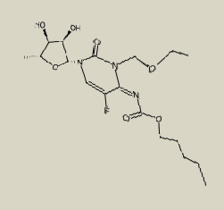 CCCCCOC(=O)N=c1c(F)cn([C@@H]2O[C@H](C)[C@@H](O)[C@H]2O)c(=O)n1COCC